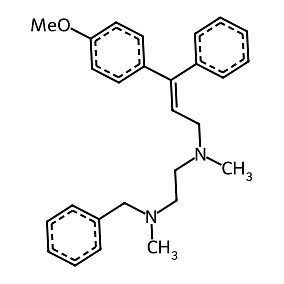 COc1ccc(C(=CCN(C)CCN(C)Cc2ccccc2)c2ccccc2)cc1